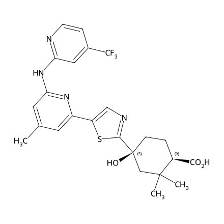 Cc1cc(Nc2cc(C(F)(F)F)ccn2)nc(-c2cnc([C@]3(O)CC[C@@H](C(=O)O)C(C)(C)C3)s2)c1